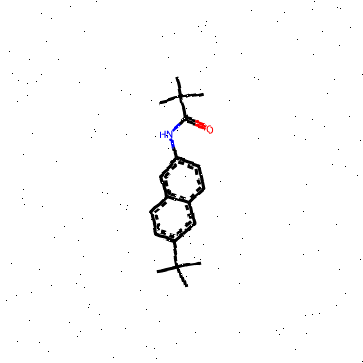 CC(C)(C)C(=O)Nc1ccc2cc(C(C)(C)C)ccc2c1